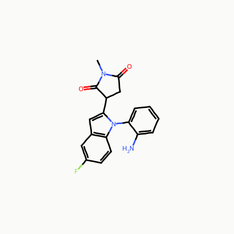 CN1C(=O)CC(c2cc3cc(F)ccc3n2-c2ccccc2N)C1=O